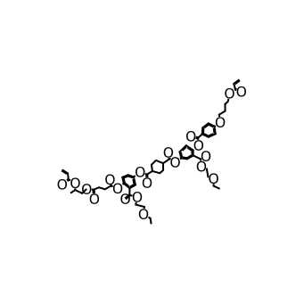 C=CC(=O)OCCCCOc1ccc(C(=O)Oc2ccc(OC(=O)C3CCC(C(=O)Oc4ccc(OC(=O)CCC(=O)OCC(C)OC(=O)C=C)c(C(=O)OCCOCC)c4)CC3)cc2C(=O)OCCOCC)cc1